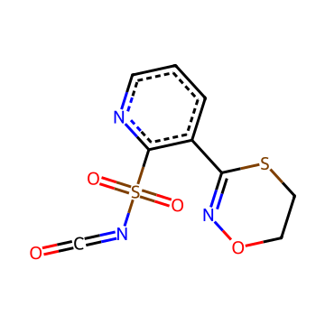 O=C=NS(=O)(=O)c1ncccc1C1=NOCCS1